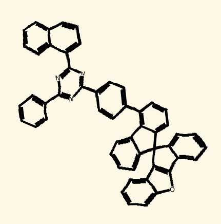 c1ccc(-c2nc(-c3ccc(-c4cccc5c4-c4ccccc4C54c5ccccc5-c5oc6ccccc6c54)cc3)nc(-c3cccc4ccccc34)n2)cc1